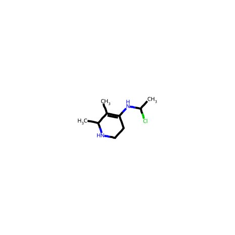 CC1=C(NC(C)Cl)CCNC1C